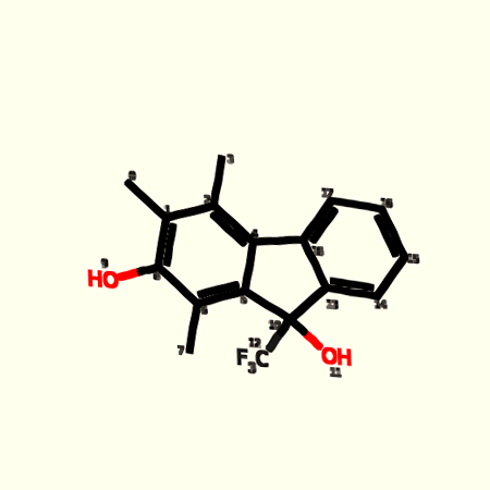 Cc1c(C)c2c(c(C)c1O)C(O)(C(F)(F)F)c1ccccc1-2